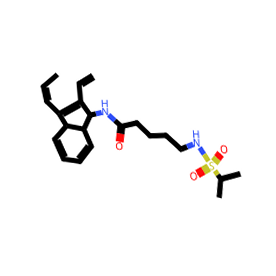 C=CC1=C(/C=C\C)C2C=CC=CC2C1NC(=O)CCCCNS(=O)(=O)C(C)C